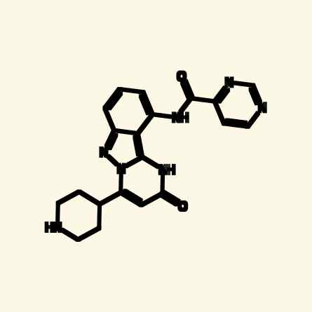 O=C(Nc1cccc2nn3c(C4CCNCC4)cc(=O)[nH]c3c12)c1ccncn1